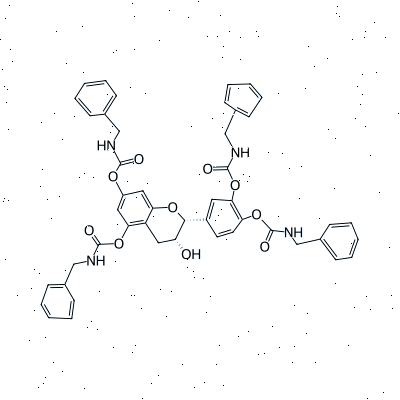 O=C(NCc1ccccc1)Oc1cc(OC(=O)NCc2ccccc2)c2c(c1)O[C@H](c1ccc(OC(=O)NCc3ccccc3)c(OC(=O)NCc3ccccc3)c1)[C@H](O)C2